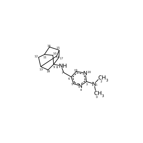 CN(C)c1ncc(CNC23CC4CC(CC(C4)C2)C3)cn1